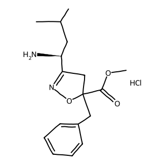 COC(=O)C1(Cc2ccccc2)CC([C@@H](N)CC(C)C)=NO1.Cl